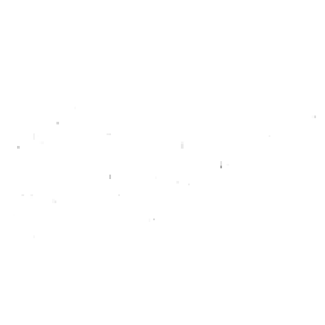 CC(C)C(NC(=O)OCc1ccccc1)C(=O)NC(C(=O)NC1Cc2nccn2CCNC(=O)C1=O)C(C)C